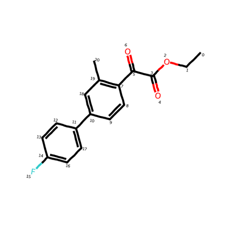 CCOC(=O)C(=O)c1ccc(-c2ccc(F)cc2)cc1C